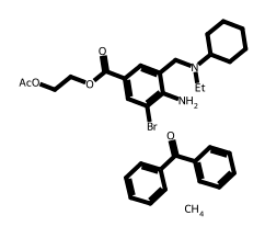 C.CCN(Cc1cc(C(=O)OCCOC(C)=O)cc(Br)c1N)C1CCCCC1.O=C(c1ccccc1)c1ccccc1